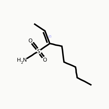 C/C=C(/CCCCC)S(N)(=O)=O